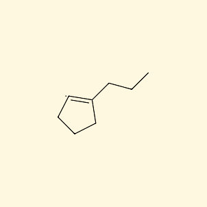 CCCC1=[C]CCC1